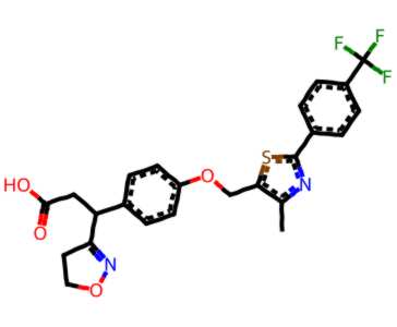 Cc1nc(-c2ccc(C(F)(F)F)cc2)sc1COc1ccc(C(CC(=O)O)C2=NOCC2)cc1